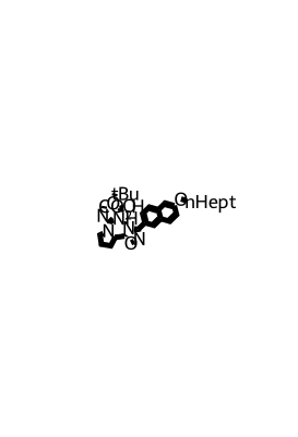 CCCCCCCOc1ccc2cc(-c3noc(C4CCCN4C(=NC(=O)O)NC(=O)OC(C)(C)C)n3)ccc2c1